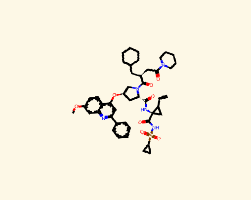 C=CC1C[C@]1(NC(=O)[C@@H]1C[C@@H](Oc2cc(-c3ccccc3)nc3cc(OC)ccc23)CN1C(=O)[C@H](CC(=O)N1CCCCC1)CC1CCCCC1)C(=O)NS(=O)(=O)C1CC1